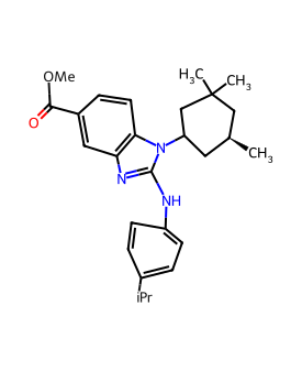 COC(=O)c1ccc2c(c1)nc(Nc1ccc(C(C)C)cc1)n2C1C[C@H](C)CC(C)(C)C1